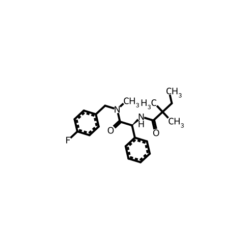 CCC(C)(C)C(=O)N[C@H](C(=O)N(C)Cc1ccc(F)cc1)c1ccccc1